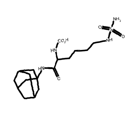 NS(=O)(=O)NCCCCC(NC(=O)O)C(=O)NC12CC3CC(CC(C3)C1)C2